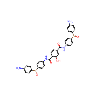 Nc1ccc([S+]([O-])c2ccc(NC(=O)c3ccc(C(=O)Nc4ccc([S+]([O-])c5ccc(N)cc5)cc4)c(O)c3)cc2)cc1